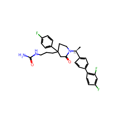 C[C@@H](c1ccc(-c2ccc(F)cc2F)cc1)N1CCC(CCCNC(N)=O)(c2ccc(F)cc2)CC1=O